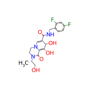 C[C@@H](CO)N1CCN2C=C(C(=O)NCc3ccc(F)cc3F)C(O)C(O)=C2C1=O